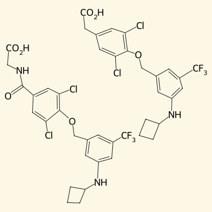 O=C(O)CNC(=O)c1cc(Cl)c(OCc2cc(NC3CCC3)cc(C(F)(F)F)c2)c(Cl)c1.O=C(O)Cc1cc(Cl)c(OCc2cc(NC3CCC3)cc(C(F)(F)F)c2)c(Cl)c1